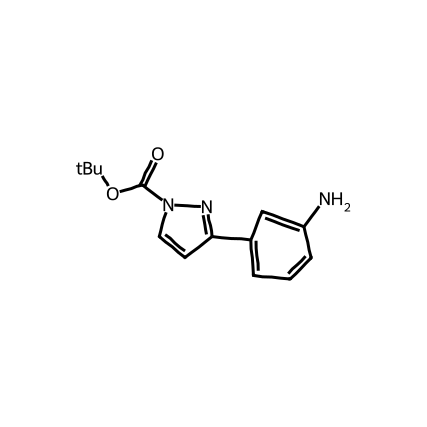 CC(C)(C)OC(=O)n1ccc(-c2cccc(N)c2)n1